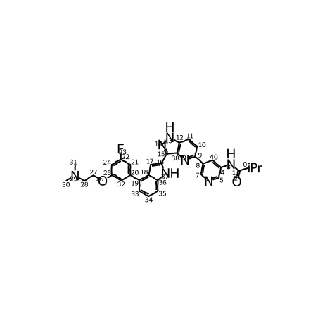 CC(C)C(=O)Nc1cncc(-c2ccc3[nH]nc(-c4cc5c(-c6cc(F)cc(OCCN(C)C)c6)cccc5[nH]4)c3n2)c1